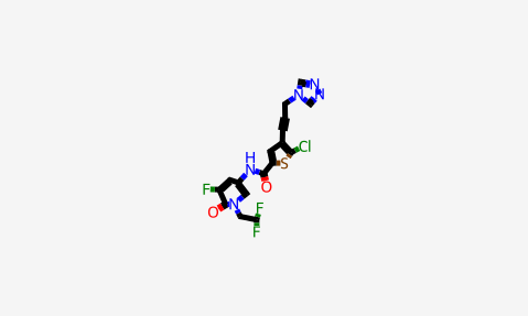 O=C(Nc1cc(F)c(=O)n(CC(F)F)c1)c1cc(C#CCn2cnnc2)c(Cl)s1